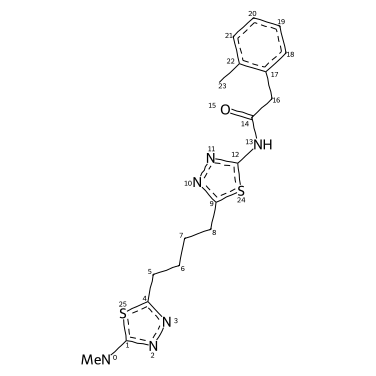 CNc1nnc(CCCCc2nnc(NC(=O)Cc3ccccc3C)s2)s1